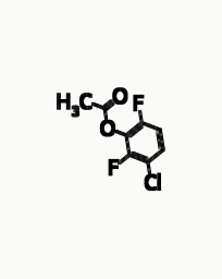 CC(=O)Oc1c(F)ccc(Cl)c1F